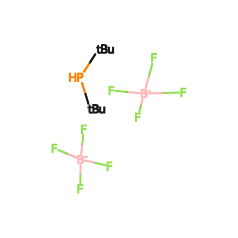 CC(C)(C)PC(C)(C)C.F[B-](F)(F)F.F[B-](F)(F)F